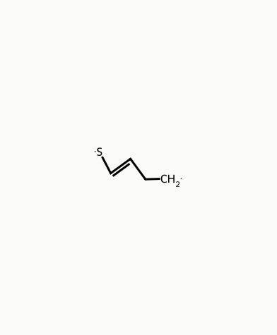 [CH2]CC=C[S]